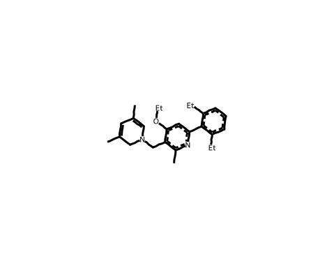 CCOc1cc(-c2c(CC)cccc2CC)nc(C)c1CN1C=C(C)C=C(C)C1